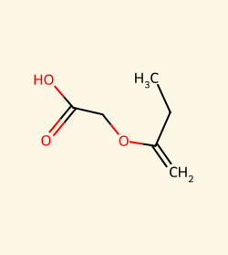 C=C(CC)OCC(=O)O